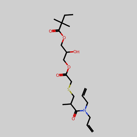 C=CCN(CC=C)C(=O)C(C)CSCC(=O)OCC(O)COC(=O)C(C)(C)CC